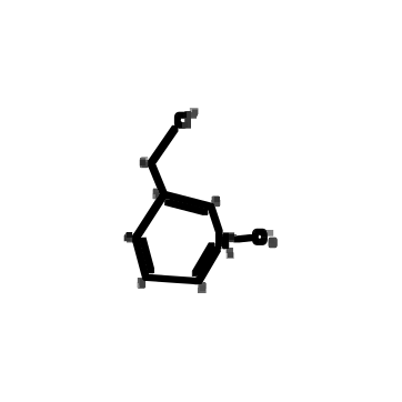 [O-][n+]1cccc(CCl)c1